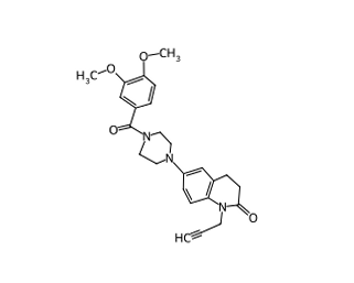 C#CCN1C(=O)CCc2cc(N3CCN(C(=O)c4ccc(OC)c(OC)c4)CC3)ccc21